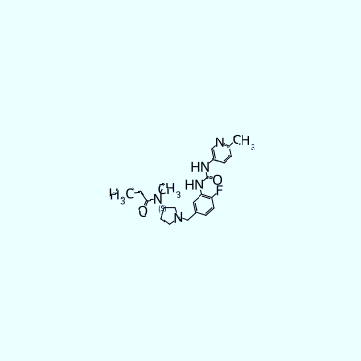 CCC(=O)N(C)[C@H]1CCN(Cc2ccc(F)c(NC(=O)Nc3ccc(C)nc3)c2)C1